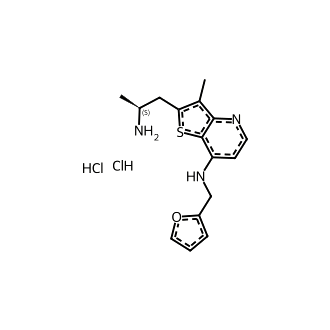 Cc1c(C[C@H](C)N)sc2c(NCc3ccco3)ccnc12.Cl.Cl